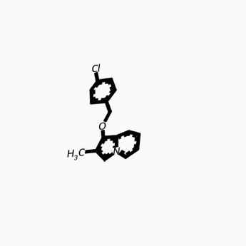 Cc1[c]n2ccccc2c1OCc1ccc(Cl)cc1